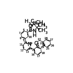 CC1(C)NB(c2cccc(-c3cccc(-c4ccccc4OCc4ccccc4)n3)c2)OC1(C)C